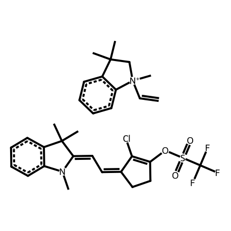 C=C[N+]1(C)CC(C)(C)c2ccccc21.CN1/C(=C\C=C2\CCC(OS(=O)(=O)C(F)(F)F)=C2Cl)C(C)(C)c2ccccc21